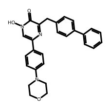 O=c1c(Cc2ccc(-c3ccccc3)cc2)nc(-c2ccc(N3CCOCC3)cc2)cn1O